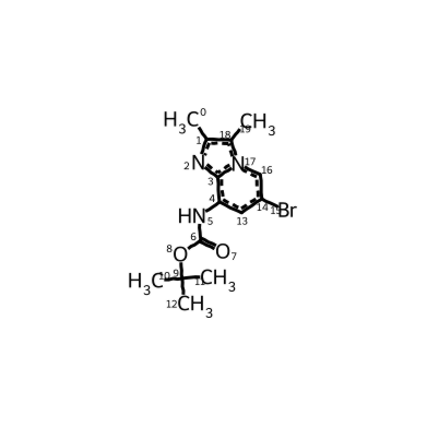 Cc1nc2c(NC(=O)OC(C)(C)C)cc(Br)cn2c1C